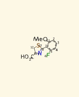 COc1cccc(F)c1C1=NC(C(=O)O)CS1